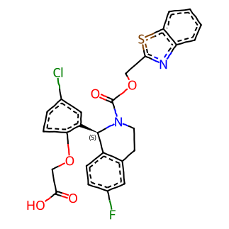 O=C(O)COc1ccc(Cl)cc1[C@@H]1c2ccc(F)cc2CCN1C(=O)OCc1nc2ccccc2s1